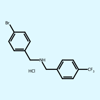 Cl.FC(F)(F)c1ccc(CNCc2ccc(Br)cc2)cc1